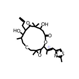 C=CCC1C(=O)C(C)(C)C(O)CC(=O)OC(/C(C)=C/c2csc(C)n2)C2OC2(C)CCCC(C)C1O